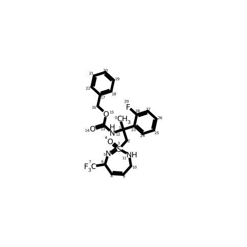 CC(CS1(=O)=NC(C(F)(F)F)C=CCN1)(NC(=O)OCc1ccccc1)c1ccccc1F